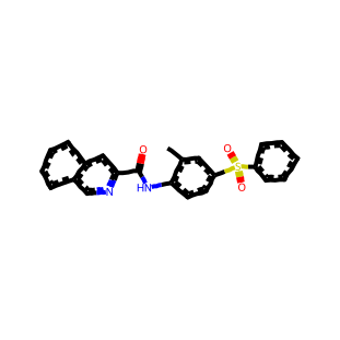 Cc1cc(S(=O)(=O)c2ccccc2)ccc1NC(=O)c1cc2ccccc2cn1